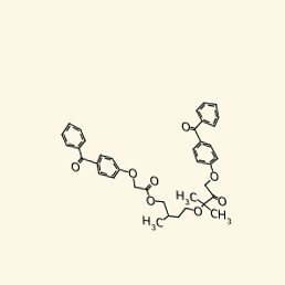 CC(CCOC(C)(C)C(=O)COc1ccc(C(=O)c2ccccc2)cc1)COC(=O)COc1ccc(C(=O)c2ccccc2)cc1